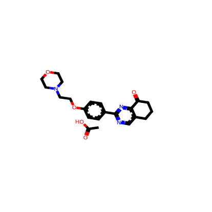 CC(=O)O.O=C1CCCc2cnc(-c3ccc(OCCN4CCOCC4)cc3)nc21